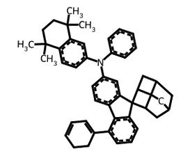 CC1(C)CCC(C)(C)c2cc(N(c3ccccc3)c3ccc4c(c3)C3(c5cccc(C6=CC=CCC6)c5-4)C4CC5CC6CC3C64C5)ccc21